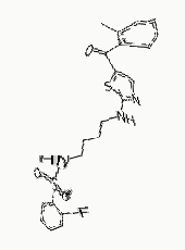 Cc1ccccc1C(=O)c1cnc(NCCCCNS(=O)(=O)c2ccccc2F)s1